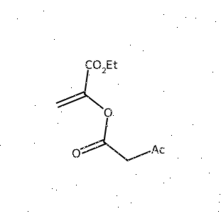 C=C(OC(=O)CC(C)=O)C(=O)OCC